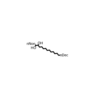 CCCCCCCCCCCCCCCCCCCCCC(O)C(O)CCCCCCCCC